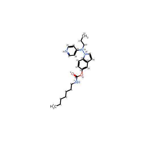 CCCCCCCNC(=O)Oc1ccc2c(ccn2N(CCC)c2ccncc2)c1